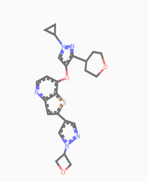 c1cc(Oc2cn(C3CC3)nc2C2CCOCC2)c2sc(-c3cnn(C4COC4)c3)cc2n1